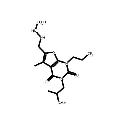 COC(C)Cn1c(=O)c2c(C)c(CNNC(=O)O)sc2n(CCC(F)(F)F)c1=O